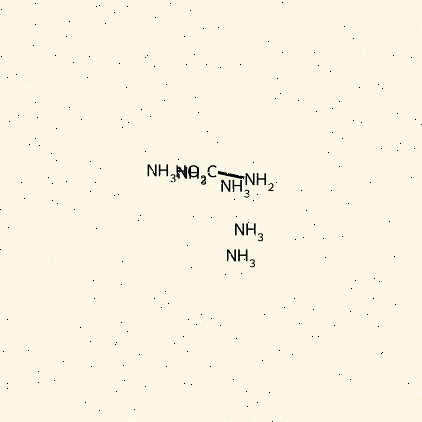 N.N.N.N.N.NC(=O)O